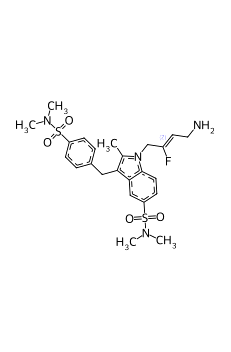 Cc1c(Cc2ccc(S(=O)(=O)N(C)C)cc2)c2cc(S(=O)(=O)N(C)C)ccc2n1C/C(F)=C/CN